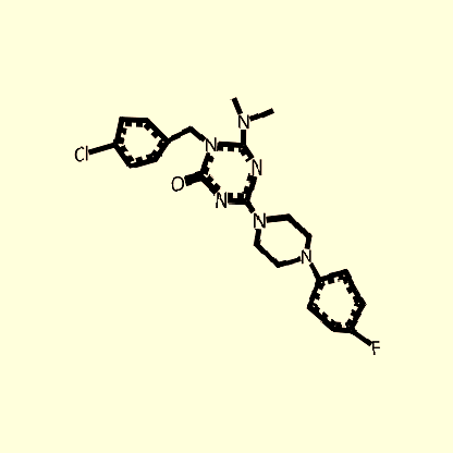 CN(C)c1nc(N2CCN(c3ccc(F)cc3)CC2)nc(=O)n1Cc1ccc(Cl)cc1